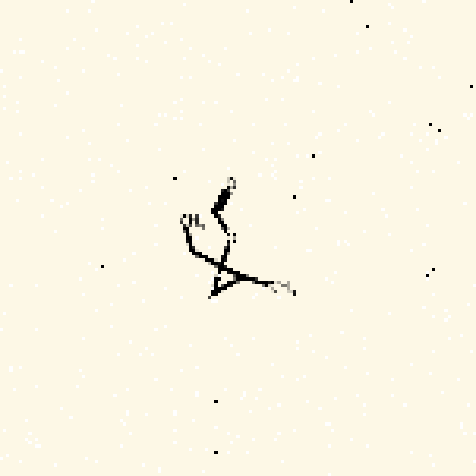 CCC1(O[C]=O)CC1C